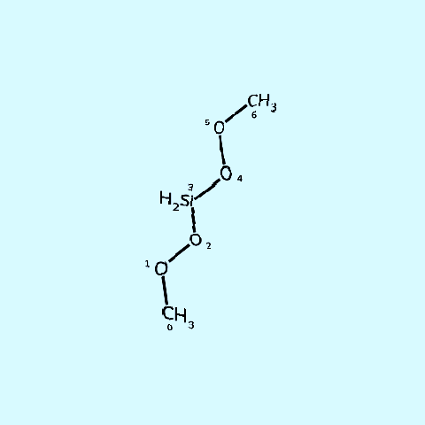 COO[SiH2]OOC